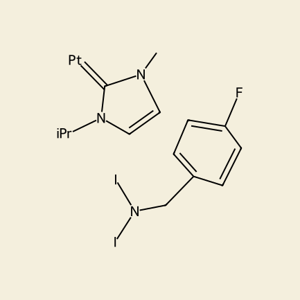 CC(C)n1ccn(C)[c]1=[Pt].Fc1ccc(CN(I)I)cc1